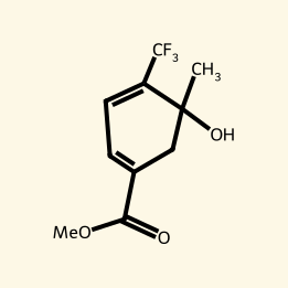 COC(=O)C1=CC=C(C(F)(F)F)C(C)(O)C1